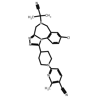 Cc1nc(N2CCC(c3nnc4n3-c3ccc(Cl)cc3CN(C(C)(C)C#N)C4)CC2)ccc1C#N